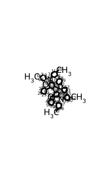 CC1=CC=C(N(c2ccc(C)cc2)c2cc3c(c4c2oc2ccccc24)-c2c(cc(N(c4ccc(C)cc4)c4ccc(C)cc4)c4c2oc2ccccc24)C32c3ccccc3-c3ccccc32)CC1